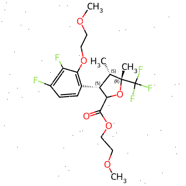 COCCOC(=O)C1O[C@@](C)(C(F)(F)F)[C@@H](C)[C@H]1c1ccc(F)c(F)c1OCCOC